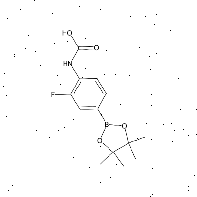 CC1(C)OB(c2ccc(NC(=O)O)c(F)c2)OC1(C)C